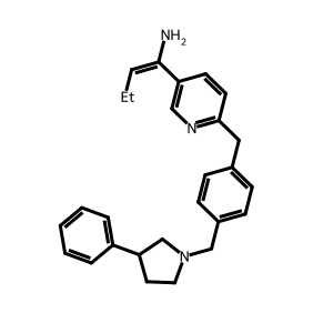 CC/C=C(/N)c1ccc(Cc2ccc(CN3CCC(c4ccccc4)C3)cc2)nc1